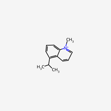 CC(C)c1cccc2c1ccc[n+]2C